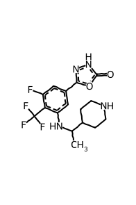 CC(Nc1cc(-c2n[nH]c(=O)o2)cc(F)c1C(F)(F)F)C1CCNCC1